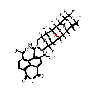 N=C(c1c(C(=O)O)cc2c3c(ccc(C(N)=O)c13)C(=O)NC2=O)N(CC(F)(F)C(F)(F)C(F)(F)C(F)(F)C(F)(F)C(F)(F)C(F)(F)F)CC(F)(F)C(F)(F)C(F)(F)C(F)(F)C(F)(F)C(F)(F)C(F)(F)F